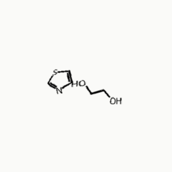 OCCO.c1cscn1